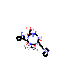 CC(C)[C@H]1C(=O)NC(CCCCn2cc[n+]3ccccc23)C(=O)NCC(=O)NC(CC(=O)O)C(=O)N[C@H](Cc2c[nH]c3ccccc23)C(=O)N1C